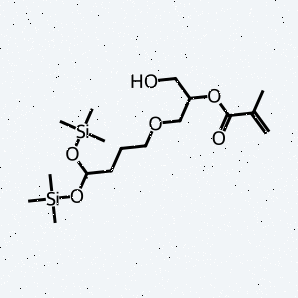 C=C(C)C(=O)OC(CO)COCCC[C](O[Si](C)(C)C)O[Si](C)(C)C